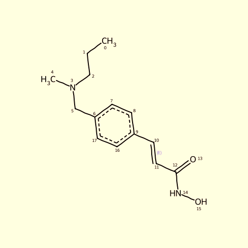 CCCN(C)Cc1ccc(/C=C/C(=O)NO)cc1